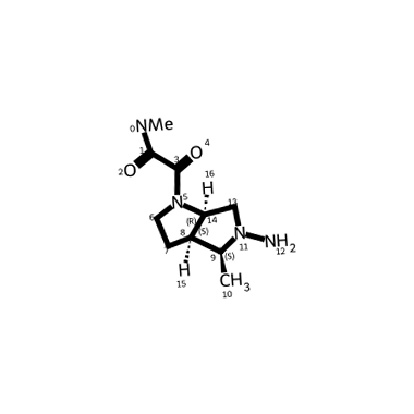 CNC(=O)C(=O)N1CC[C@@H]2[C@H](C)N(N)C[C@@H]21